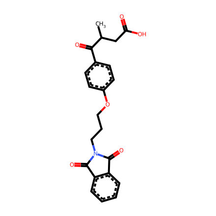 CC(CC(=O)O)C(=O)c1ccc(OCCCN2C(=O)c3ccccc3C2=O)cc1